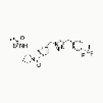 C=CS(=O)(=O)NC[C@H]1CCN(C(=O)c2ccc(Cn3cc(Cc4ccc(C(F)(F)F)cc4)nn3)cc2)C1